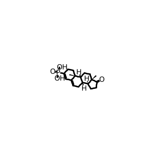 C[C@]12CCC(P(=O)(O)O)=CC1=CC[C@@H]1[C@H]2CC[C@]2(C)C(=O)CC[C@@H]12